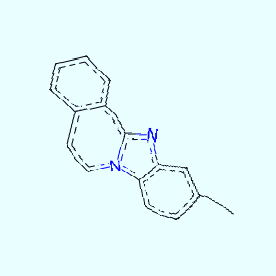 Cc1ccc2c(c1)nc1c3ccccc3ccn21